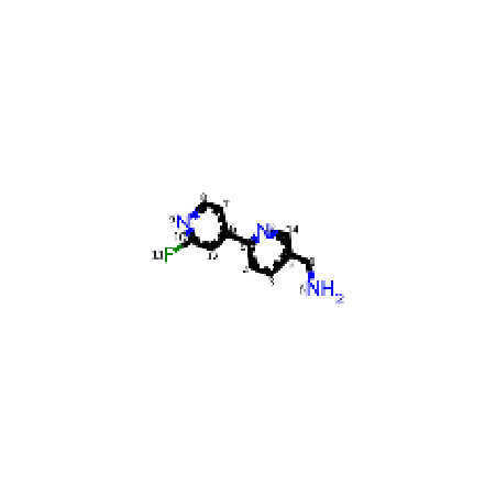 NCc1ccc(-c2ccnc(F)c2)nc1